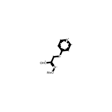 CON=C([C]=O)CSc1ccncc1